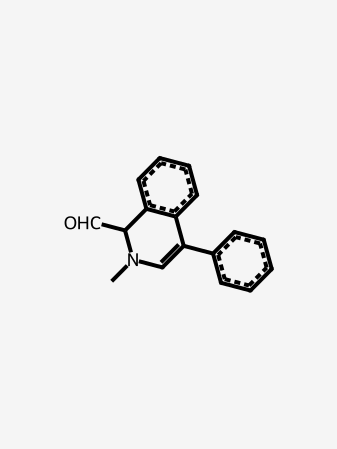 CN1C=C(c2ccccc2)c2ccccc2C1C=O